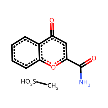 CS(=O)(=O)O.NC(=O)c1cc(=O)c2ccccc2o1